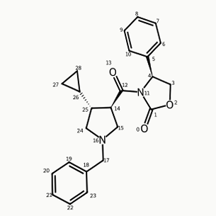 O=C1OC[C@H](c2ccccc2)N1C(=O)[C@H]1CN(Cc2ccccc2)C[C@@H]1C1CC1